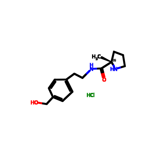 C[C@@]1(C(=O)NCCc2ccc(CO)cc2)CCCN1.Cl